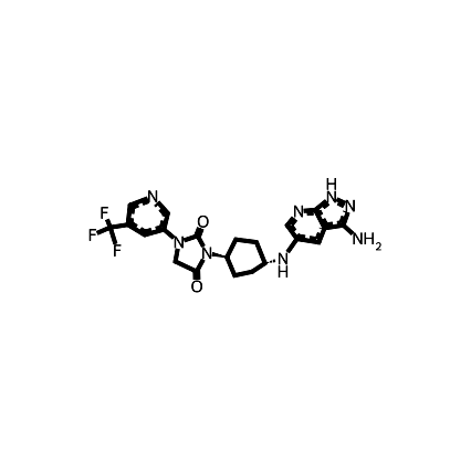 Nc1n[nH]c2ncc(N[C@H]3CC[C@H](N4C(=O)CN(c5cncc(C(F)(F)F)c5)C4=O)CC3)cc12